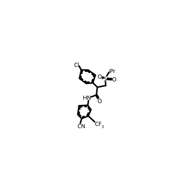 CC(C)S(=O)(=O)CC(C(=O)Nc1ccc(C#N)c(C(F)(F)F)c1)c1ccc(Cl)cc1